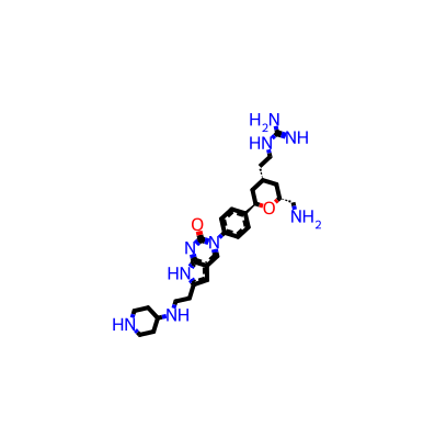 N=C(N)NCC[C@@H]1C[C@H](CN)O[C@@H](c2ccc(-n3cc4cc(CCNC5CCNCC5)[nH]c4nc3=O)cc2)C1